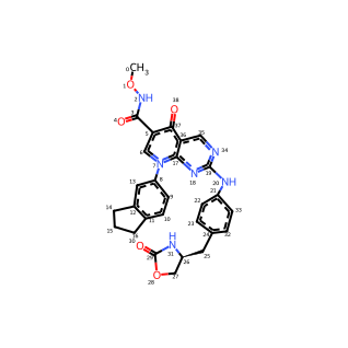 CONC(=O)c1cn(-c2ccc3c(c2)CCC3)c2nc(Nc3ccc(C[C@H]4COC(=O)N4)cc3)ncc2c1=O